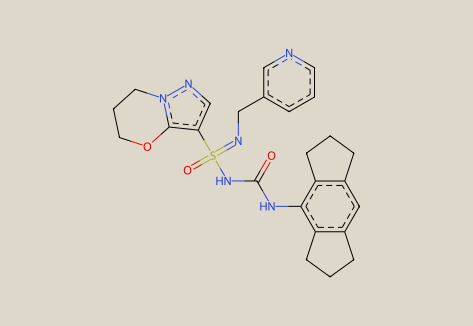 O=C(Nc1c2c(cc3c1CCC3)CCC2)NS(=O)(=NCc1cccnc1)c1cnn2c1OCCC2